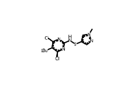 Cn1cc(SNc2nc(Cl)c(C(C)(C)C)c(Cl)n2)cn1